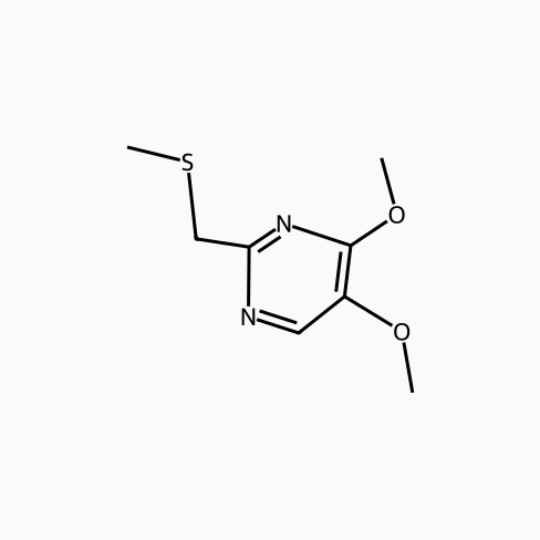 COc1cnc(CSC)nc1OC